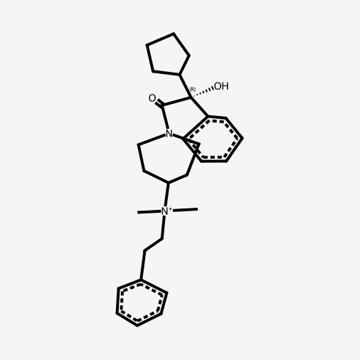 C[N+](C)(CCc1ccccc1)C1CCN(C(=O)[C@](O)(c2ccccc2)C2CCCC2)CC1